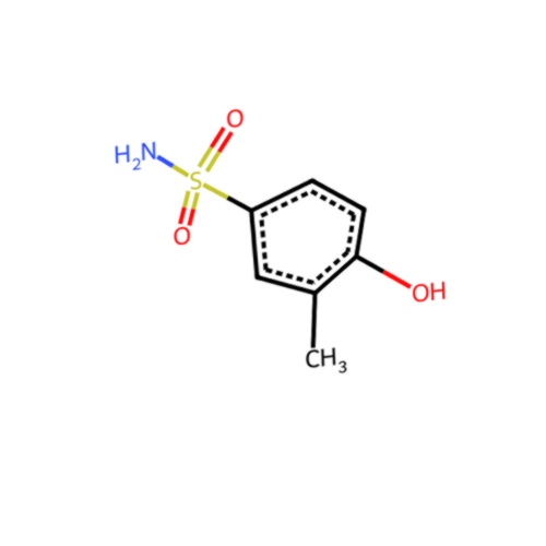 Cc1cc(S(N)(=O)=O)ccc1O